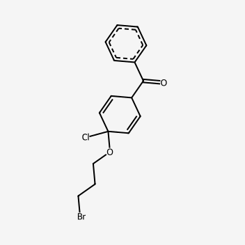 O=C(c1ccccc1)C1C=CC(Cl)(OCCCBr)C=C1